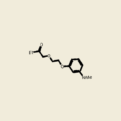 CCC(=O)COCCOc1cccc(NC)c1